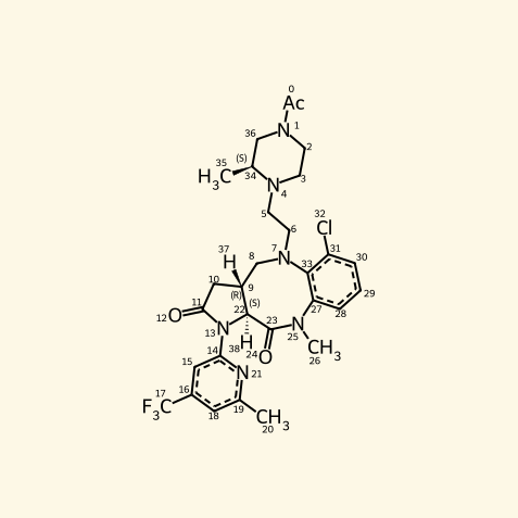 CC(=O)N1CCN(CCN2C[C@H]3CC(=O)N(c4cc(C(F)(F)F)cc(C)n4)[C@@H]3C(=O)N(C)c3cccc(Cl)c32)[C@@H](C)C1